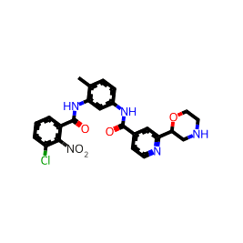 Cc1ccc(NC(=O)c2ccnc(C3CNCCO3)c2)cc1NC(=O)c1cccc(Cl)c1[N+](=O)[O-]